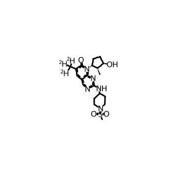 [2H]C([2H])([2H])c1cc2cnc(NC3CCN(S(C)(=O)=O)CC3)nc2n([C@@H]2CC[C@@H](O)[C@H]2C)c1=O